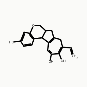 C=CC1=C(O)C(O)=CC2=C(C1)CC1COc3cc(O)ccc3C21